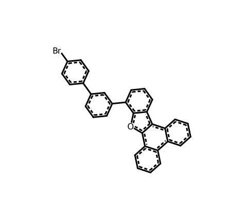 Brc1ccc(-c2cccc(-c3cccc4c3oc3c5ccccc5c5ccccc5c43)c2)cc1